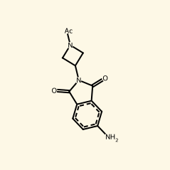 CC(=O)N1CC(N2C(=O)c3ccc(N)cc3C2=O)C1